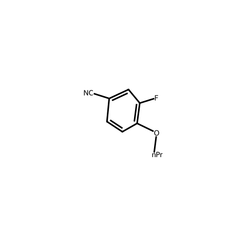 CCCOc1ccc(C#N)cc1F